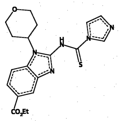 CCOC(=O)c1ccc2c(c1)nc(NC(=S)n1ccnc1)n2C1CCOCC1